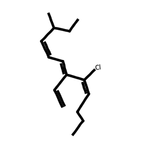 C=CC(=C\C=C/C(C)CC)/C(Cl)=C\CCC